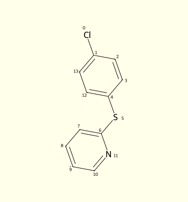 Clc1ccc(Sc2cc[c]cn2)cc1